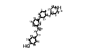 C[C@@H]1CN(Cc2cccc(-c3ccnc(NCCc4ccc(O)cc4)n3)c2)CCN1